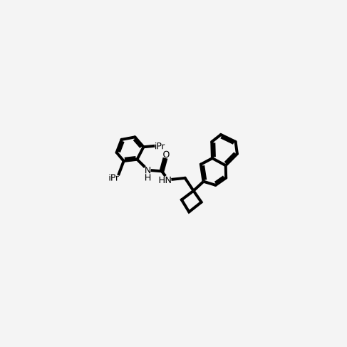 CC(C)c1cccc(C(C)C)c1NC(=O)NCC1(c2ccc3ccccc3c2)CCC1